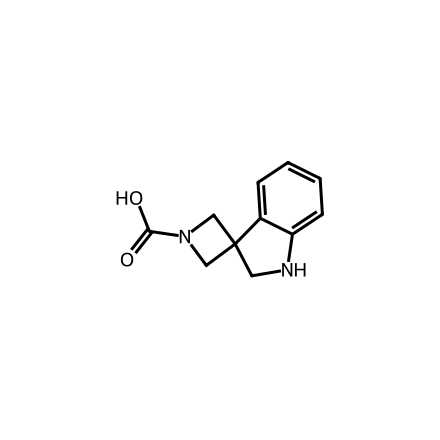 O=C(O)N1CC2(CNc3ccccc32)C1